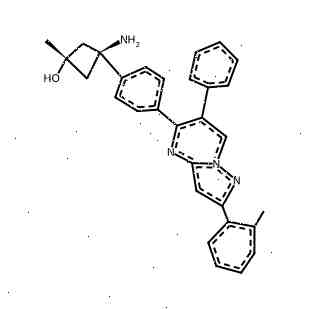 Cc1ccccc1-c1cc2nc(-c3ccc([C@]4(N)C[C@](C)(O)C4)cc3)c(-c3ccccc3)cn2n1